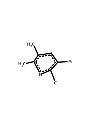 Cc1cc(C(C)C)c(Cl)nc1C